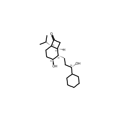 CC(C)[C@@]12CC[C@H](O)[C@@H](CC[C@H](O)C3CCCCC3)[C@@H]1CC2=O